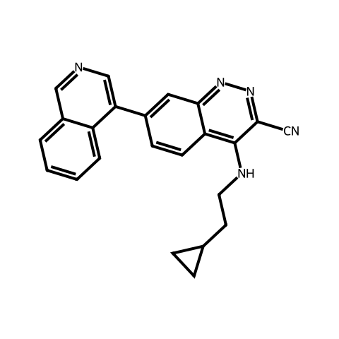 N#Cc1nnc2cc(-c3cncc4ccccc34)ccc2c1NCCC1CC1